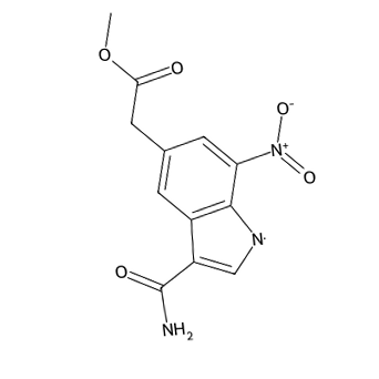 COC(=O)Cc1cc2c(c([N+](=O)[O-])c1)[N]C=C2C(N)=O